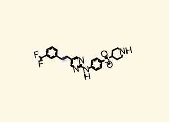 O=S(=O)(c1ccc(Nc2ncc(/C=C/c3cccc(C(F)F)c3)cn2)cc1)C1CCNCC1